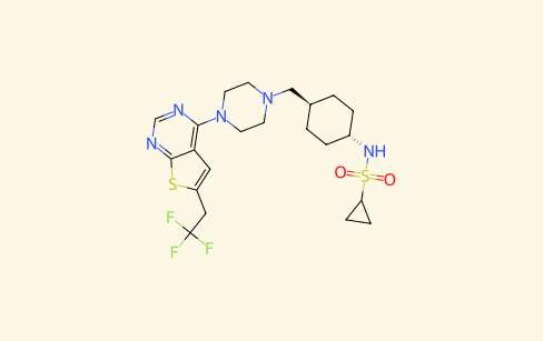 O=S(=O)(N[C@H]1CC[C@H](CN2CCN(c3ncnc4sc(CC(F)(F)F)cc34)CC2)CC1)C1CC1